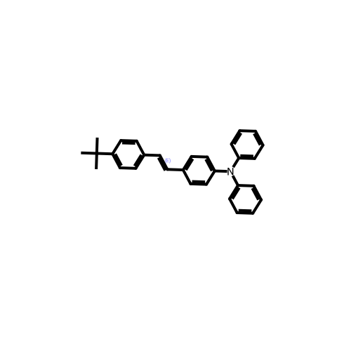 CC(C)(C)c1ccc(/C=C/c2ccc(N(c3ccccc3)c3ccccc3)cc2)cc1